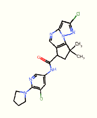 CC1(C)CC(C(=O)Nc2cnc(N3CCCC3)c(Cl)c2)c2cnc3cc(Cl)nn3c21